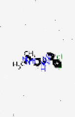 Cc1cc(N2CCC(Nc3nc4c(-c5ccc(F)cc5Cl)cccn4n3)CC2)nc(C)n1